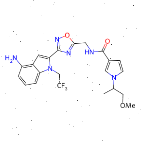 COCC(C)n1ccc(C(=O)NCc2nc(-c3cc4c(N)cccc4n3CC(F)(F)F)no2)c1